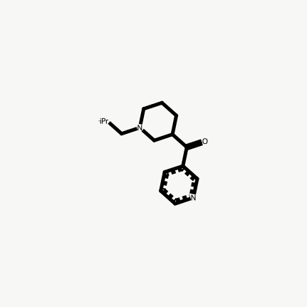 C[C](C)CN1CCCC(C(=O)c2cccnc2)C1